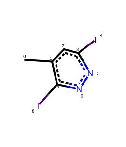 Cc1cc(I)nnc1I